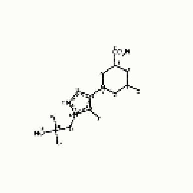 Cc1c(N2CC(C)CC(C(=O)O)C2)cnn1CC(C)(C)O